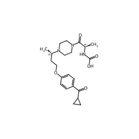 C[C@H](CCOc1ccc(C(=O)C2CC2)cc1)N1CCN(C(=O)[C@@H](C)NC(=O)O)CC1